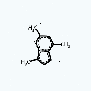 Cc1cc(C)c2ccc(C)n2n1